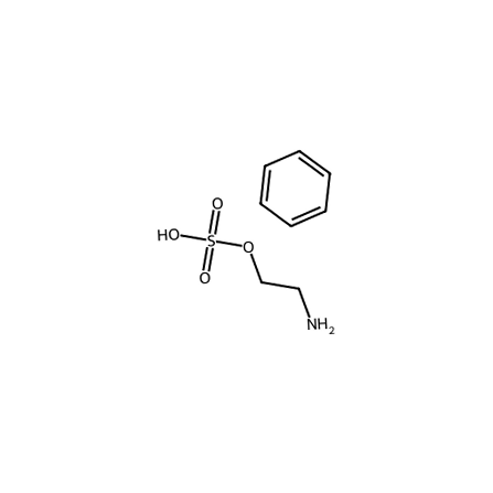 NCCOS(=O)(=O)O.c1ccccc1